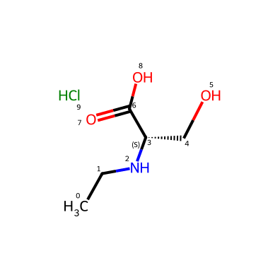 CCN[C@@H](CO)C(=O)O.Cl